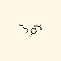 CC(=O)Nc1ccc(O)c(C(=O)/C=C/CF)c1